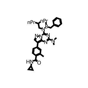 CCCC(CCC)CN(B(C)Cc1ccccc1)c1nc(N(C)C)nc2c(-c3ccc(C(=O)NC4CC4)c(C)c3)cnn12